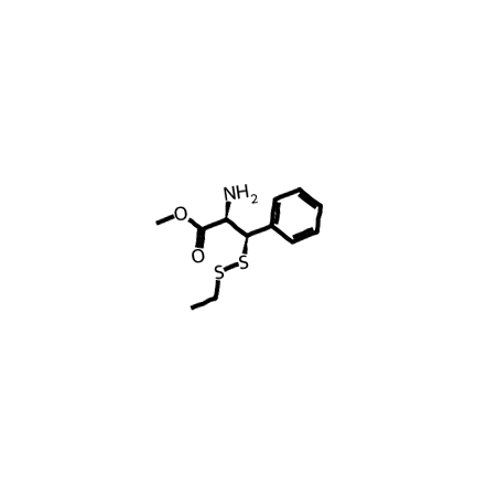 CCSS[C@H](c1ccccc1)[C@H](N)C(=O)OC